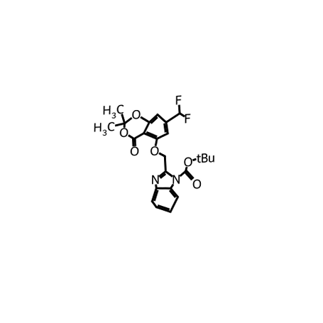 CC(C)(C)OC(=O)n1c(COc2cc(C(F)F)cc3c2C(=O)OC(C)(C)O3)nc2ccccc21